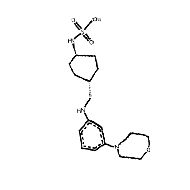 CC(C)(C)S(=O)(=O)N[C@H]1CC[C@H](CNc2cccc(N3CCOCC3)c2)CC1